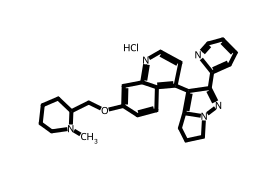 CN1CCCCC1COc1ccc2c(-c3c(-c4ccccn4)nn4c3CCC4)ccnc2c1.Cl